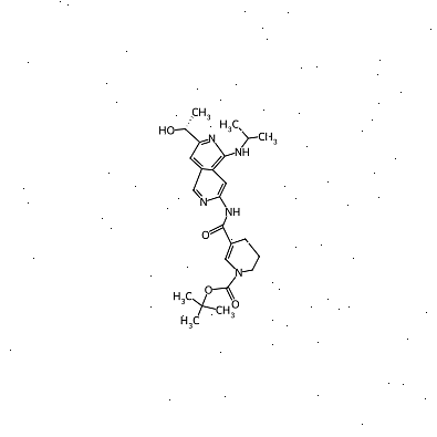 CC(C)Nc1nc([C@@H](C)O)cc2cnc(NC(=O)C3=CN(C(=O)OC(C)(C)C)CCC3)cc12